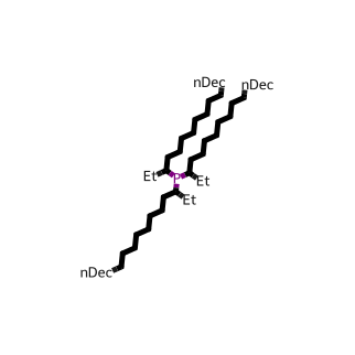 CCCCCCCCCCCCCCCCCCC(CC)P(C(CC)CCCCCCCCCCCCCCCCCC)C(CC)CCCCCCCCCCCCCCCCCC